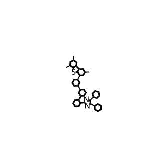 Cc1cc(C)c2sc3c(-c4cccc(-c5ccc6c(c5)c5ccccc5c5nc(-c7ccccc7)c(-c7ccccc7)n65)c4)cc(C)cc3c2c1